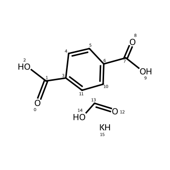 O=C(O)c1ccc(C(=O)O)cc1.O=CO.[KH]